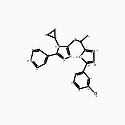 CC(Sc1nnc(-c2ccncc2)n1C1CC1)c1nnc(-c2cccc(Cl)c2)o1